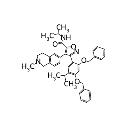 CC(C)NC(=O)c1onc(-c2cc(C(C)C)c(OCc3ccccc3)cc2OCc2ccccc2)c1-c1ccc2c(c1)CCN(C)C2